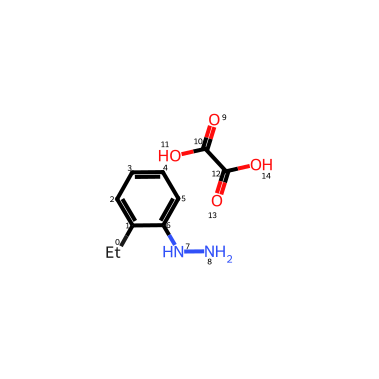 CCc1ccccc1NN.O=C(O)C(=O)O